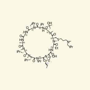 C/C=C/C[C@@H](C)[C@@H](O)[C@H]1C(=O)N[C@@H](CC)C(=O)N(C)[C@H](CSCCCN(C)CC(C)C)C(=O)N(C)[C@@H](CC(C)(C)O)C(=O)N[C@@H](C(C)C)C(=O)N(C)[C@@H](CC(C)C)C(=O)N[C@@H](C)C(=O)N[C@H](C)C(=O)N(C)[C@@H](CC(C)C)C(=O)N(C)[C@@H](CC(C)C)C(=O)N(C)[C@@H](C(C)C)C(=O)N1C